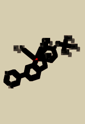 BC(B)(B)O[C@@H]1CC[C@]2(Cc3ccc(-c4cncnc4)cc3[C@]23N=C(N)OC3(B)B)C[C@H]1C